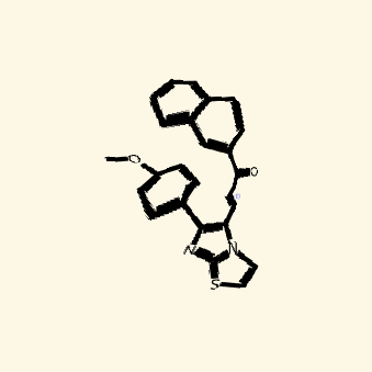 COc1ccc(-c2nc3sccn3c2/C=C/C(=O)c2ccc3ccccc3c2)cc1